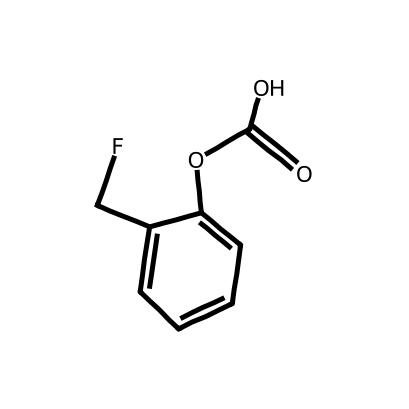 O=C(O)Oc1ccccc1CF